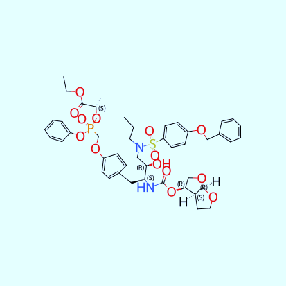 CCCN(C[C@@H](O)[C@H](Cc1ccc(OCP(=O)(Oc2ccccc2)O[C@@H](C)C(=O)OCC)cc1)NC(=O)O[C@H]1CO[C@H]2OCC[C@H]21)S(=O)(=O)c1ccc(OCc2ccccc2)cc1